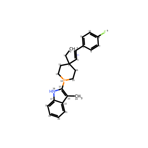 CCC1(/C=C/c2ccc(F)cc2)CCP(c2[nH]c3ccccc3c2C)CC1